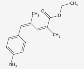 CCOC(=O)C(C)=CC(C)=Cc1ccc(N)cc1